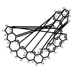 c1c2c3c4c5c6c7c8c9c%10c%11c%12c9c6c6c4c4c9c3c1cc1cc3c%13c%14c%15c%16c(c%17c%12c6c(c%14%17)c4c%13c19)C%11C(CCC%10CCC8CC1CC2C=5C71)CC%16CCC%15C3